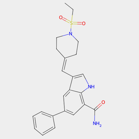 CCS(=O)(=O)N1CCC(=Cc2c[nH]c3c(C(N)=O)cc(-c4ccccc4)cc23)CC1